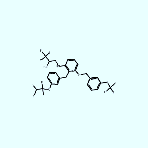 OC(CNc1cccc(OCc2cccc(SC(F)(F)F)c2)c1Cc1cccc(OC(F)(F)C(F)F)c1)C(F)(F)F